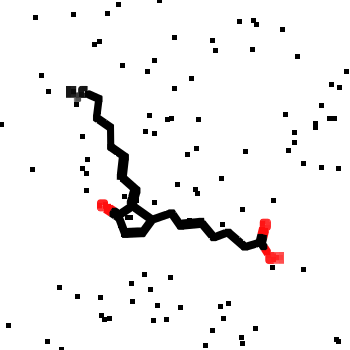 CCCCCC=CC=C1C(=O)C=CC1CC=CCCCC(=O)O